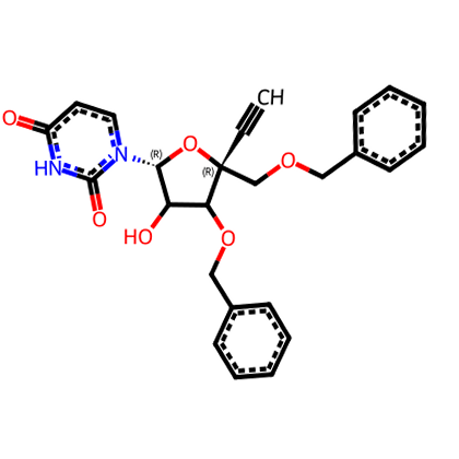 C#C[C@]1(COCc2ccccc2)O[C@@H](n2ccc(=O)[nH]c2=O)C(O)C1OCc1ccccc1